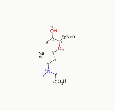 CCCCCCCCCC(OCCCN(C)CC(=O)O)C(C)O.[Na]